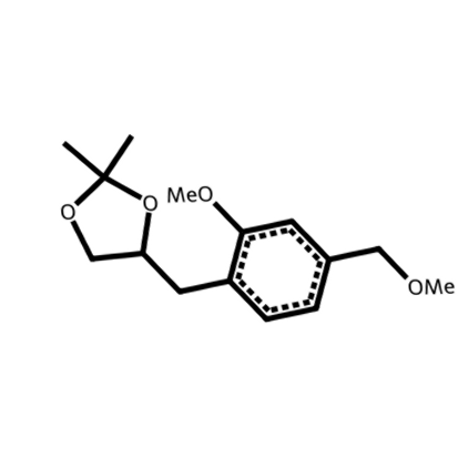 COCc1ccc(CC2COC(C)(C)O2)c(OC)c1